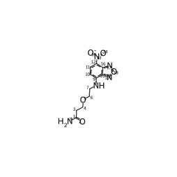 NC(=O)CCOCCNc1ccc([N+](=O)[O-])c2nonc12